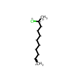 C=CCCCCCCCC(C)Cl